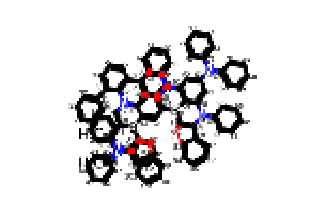 C=CN(c1ccccc1)c1c(B2c3cc4c(cc3N(c3c(-c5ccccc5)cccc3-c3ccccc3)CC2[C@H](C)N(c2ccccc2)c2ccccc2)N(c2ccccc2)c2cc(N(c3ccccc3)c3ccccc3)cc3c2B4c2oc4ccccc4c2N3c2ccccc2)oc2ccccc12